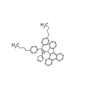 CCCCc1ccc([C](c2ccc(CCCC)cc2)=[Zr]([C]2=CC=CC2)[CH]2c3ccccc3-c3c2c2ccccc2c2ccccc32)cc1